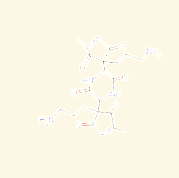 CC1=CC(=O)C(CCCN)(C2NC(=O)C(C3(CCCN)C(=O)C=C(C)C3=O)NC2=O)C1=O